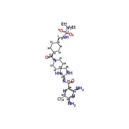 CCN(CC)S(=O)(=O)NC[C@H]1CC[C@@H](C(=O)N2CCC3(CC2)CN/C(=N\C(=O)c2nc(Cl)c(N)nc2N)N3)CC1